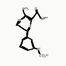 CNC(=O)c1nc(-c2cccc(NC(=O)O)c2)cnc1[AsH2]